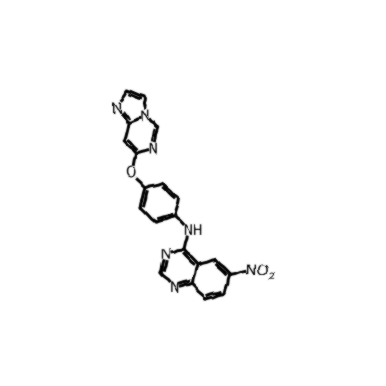 O=[N+]([O-])c1ccc2ncnc(Nc3ccc(Oc4cc5nccn5cn4)cc3)c2c1